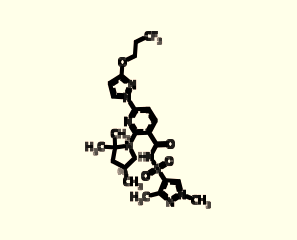 Cc1nn(C)cc1S(=O)(=O)NC(=O)c1ccc(-n2ccc(OCCC(F)(F)F)n2)nc1N1C[C@@H](C)CC1(C)C